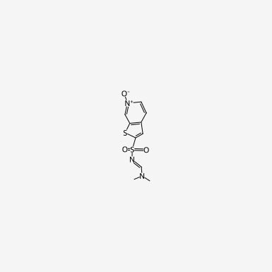 CN(C)/C=N/S(=O)(=O)c1cc2cc[n+]([O-])cc2s1